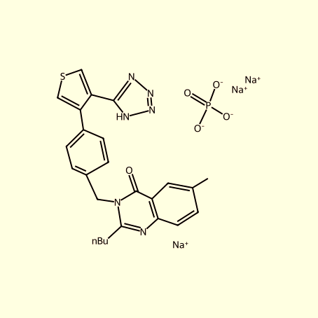 CCCCc1nc2ccc(C)cc2c(=O)n1Cc1ccc(-c2cscc2-c2nnn[nH]2)cc1.O=P([O-])([O-])[O-].[Na+].[Na+].[Na+]